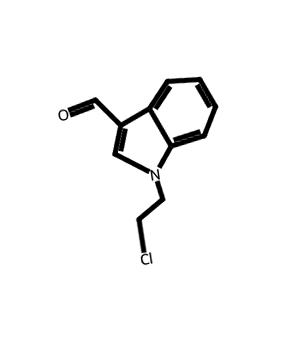 O=Cc1cn(CCCl)c2ccccc12